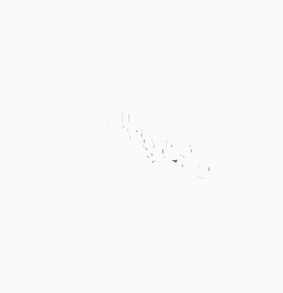 CCOCCNC(=O)Nc1cn2ncc(C#N)c(Nc3ccc(Oc4ccccc4)cc3)c2c1C